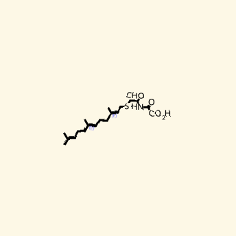 CC(C)=CCC/C(C)=C/CC/C(C)=C/CSCC(C=O)NC(=O)C(=O)O